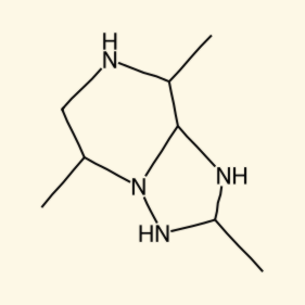 CC1NC2C(C)NCC(C)N2N1